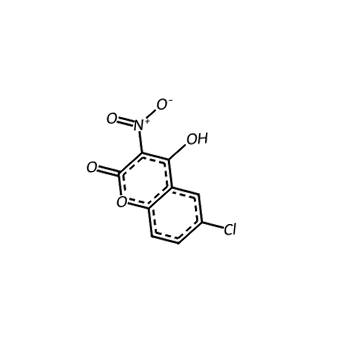 O=c1oc2ccc(Cl)cc2c(O)c1[N+](=O)[O-]